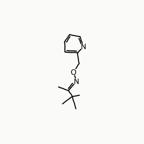 C/C(=N\OCc1ccccn1)C(C)(C)C